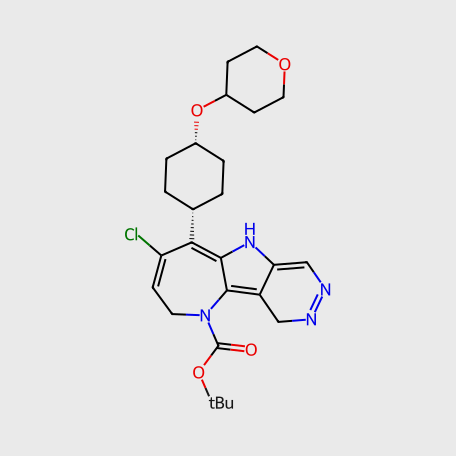 CC(C)(C)OC(=O)N1CC=C(Cl)C([C@H]2CC[C@@H](OC3CCOCC3)CC2)=c2[nH]c3c(c21)CN=NC=3